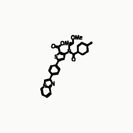 COCCN(C(=O)C1CCC(C)CC1)c1cc(-c2ccc(-c3cn4ccccc4n3)cc2)sc1C(=O)OC